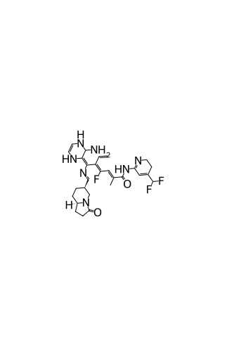 C=CC(=C(F)\C=C(/C)C(=O)NC1=NCCC(C(F)F)=C1)/C(/N=C/[C@@H]1CC[C@@H]2CCC(=O)N2C1)=C1/NC=CNC1N